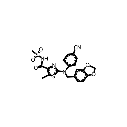 Cc1sc(N(Cc2ccc3c(c2)OCO3)c2ccc(C#N)cc2)nc1C(=O)NS(C)(=O)=O